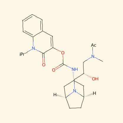 CC(=O)N(C)C[C@H](O)CN1[C@@H]2CC[C@H]1C[C@H](NC(=O)Oc1cc3ccccc3n(C(C)C)c1=O)C2